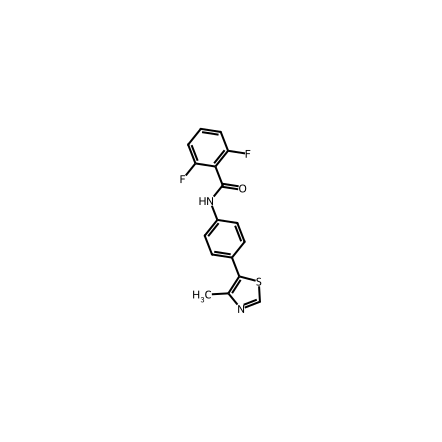 Cc1ncsc1-c1ccc(NC(=O)c2c(F)cccc2F)cc1